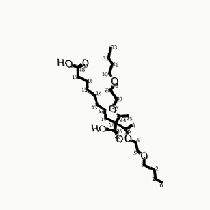 CCCCOCCOC(C)C(CCCCCCCC(=O)O)(C(=O)O)C(C)OCCOCCCC